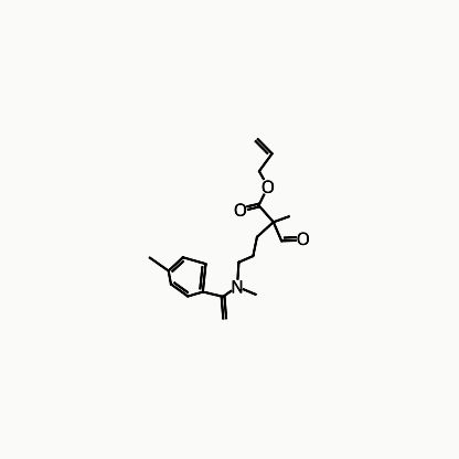 C=CCOC(=O)C(C)(C=O)CCCN(C)C(=C)c1ccc(C)cc1